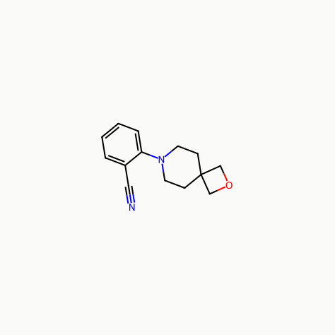 N#Cc1ccccc1N1CCC2(CC1)COC2